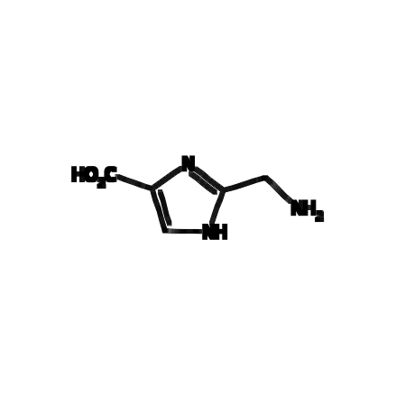 NCc1nc(C(=O)O)c[nH]1